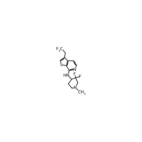 CN1CCC(Nc2nccc3c(CC(F)(F)F)csc23)C(F)(F)C1